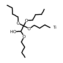 CCCCOC(O)C(OCCCC)(OCCCC)OCCCC.[Ti]